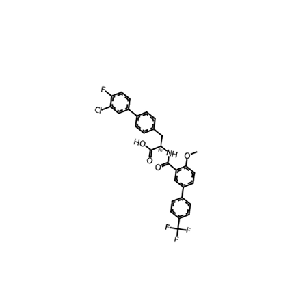 COc1ccc(-c2ccc(C(F)(F)F)cc2)cc1C(=O)N[C@H](Cc1ccc(-c2ccc(F)c(Cl)c2)cc1)C(=O)O